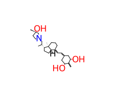 C=C1[C@H](O)C/C(=C/C=C2\CCC[C@]3(C)[C@@H](C(C)CN4CC[C@](C)(O)C4)CC[C@@H]23)C[C@@H]1O